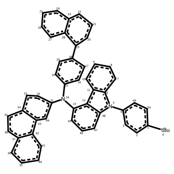 CC(C)(C)c1ccc(-n2c3ccccc3c3c(N(c4ccc(-c5cccc6ccccc56)cc4)c4ccc5ccc6ccccc6c5c4)cccc32)cc1